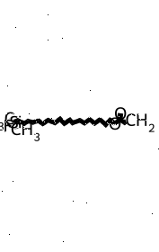 C=CC(=O)OCCCCCCCCCCCCCCCCCCC[Si](C)(C)F